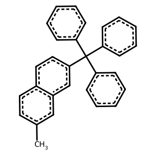 Cc1ccc2ccc(C(c3ccccc3)(c3ccccc3)c3ccccc3)cc2c1